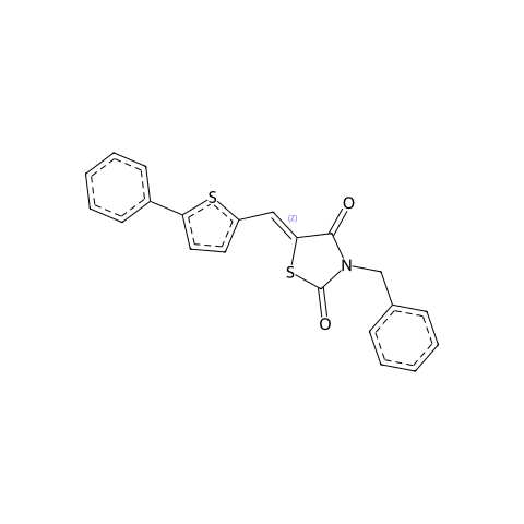 O=C1S/C(=C\c2ccc(-c3ccccc3)s2)C(=O)N1Cc1ccccc1